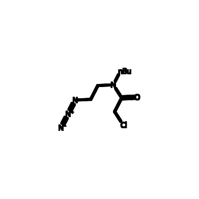 CCCCN(CCN=[N+]=[N-])C(=O)CCl